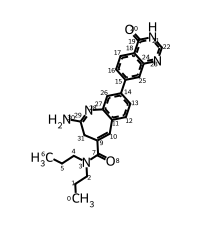 CCCN(CCC)C(=O)C1=Cc2ccc(-c3ccc4c(=O)[nH]cnc4c3)cc2N=C(N)C1